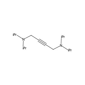 CC(C)N(CC#CCN(C(C)C)C(C)C)C(C)C